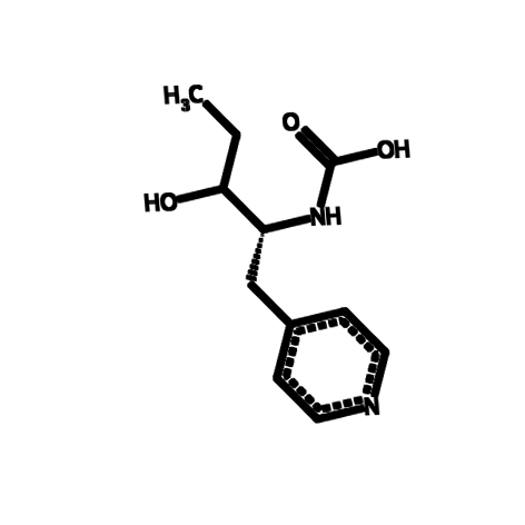 CCC(O)[C@@H](Cc1ccncc1)NC(=O)O